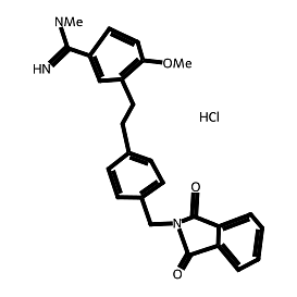 CNC(=N)c1ccc(OC)c(CCc2ccc(CN3C(=O)c4ccccc4C3=O)cc2)c1.Cl